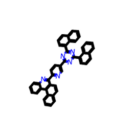 c1ccc2c(-c3nc(-c4ccc(-c5nc6ccccc6c6c5ccc5ccccc56)nc4)nc(-c4cccc5ccccc45)n3)cccc2c1